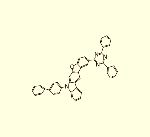 c1ccc(-c2ccc(-n3c4ccccc4c4cc5c(cc43)oc3ccc(-c4nc(-c6ccccc6)nc(-c6ccccc6)n4)cc35)cc2)cc1